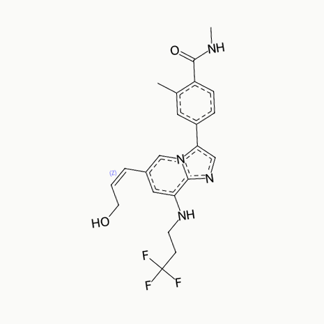 CNC(=O)c1ccc(-c2cnc3c(NCCC(F)(F)F)cc(/C=C\CO)cn23)cc1C